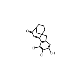 O=C1C=C2c3c(cc(O)c(Cl)c3Cl)CC23CCCC1C3